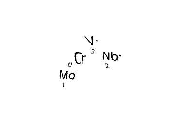 [Cr].[Mo].[Nb].[V]